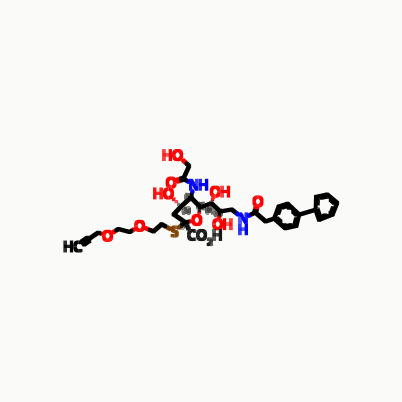 C#CCOCCOCCS[C@]1(C(=O)O)C[C@H](O)[C@@H](NC(=O)CO)[C@H]([C@H](O)[C@H](O)CNC(=O)Cc2ccc(-c3ccccc3)cc2)O1